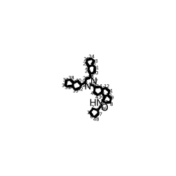 C1=CCC(C2Nc3c(ccc4ccc5cc(-c6nc(-c7ccc8ccccc8c7)cc(-c7ccc8ccccc8c7)n6)ccc5c34)O2)C=C1